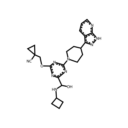 N#CC1(COc2nc(C(O)NC3CCC3)nc(N3CCC(c4n[nH]c5ncccc45)CC3)n2)CC1